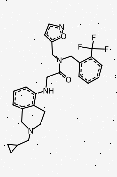 O=C(CNc1cccc2c1CCN(CC1CC1)C2)N(Cc1ccno1)Cc1ccccc1C(F)(F)F